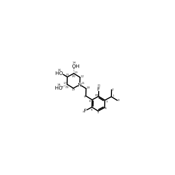 CC(C)c1ccc(F)c(CCN2C[C@@H](O)C(O)[C@@H](O)C2)c1F